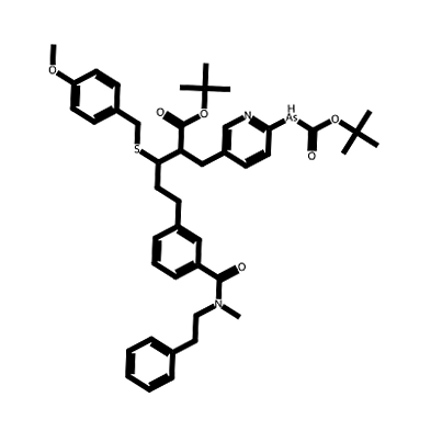 COc1ccc(CSC(CCc2cccc(C(=O)N(C)CCc3ccccc3)c2)C(Cc2ccc([AsH]C(=O)OC(C)(C)C)nc2)C(=O)OC(C)(C)C)cc1